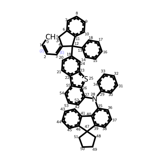 C/C=C\C=C1/Cc2ccccc2C1(c1ccccc1)c1ccc2c(c1)sc1c(N(c3ccccc3)c3cccc4c3-c3ccccc3C43CCCC3)cccc12